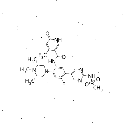 C[C@@H]1CN(c2cc(F)c(-c3cnc(NS(C)(=O)=O)nc3)cc2NC(=O)c2c[nH]c(=O)cc2C(F)(F)F)C[C@H](C)N1C